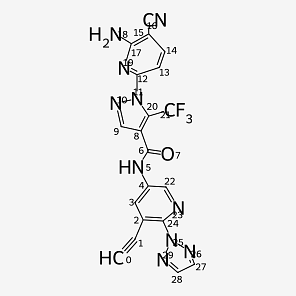 C#Cc1cc(NC(=O)c2cnn(-c3ccc(C#N)c(N)n3)c2C(F)(F)F)cnc1-n1nccn1